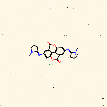 CN1CCC/C1=N\c1cc2oc(=O)c3cc(/N=C4\CCCN4C)cc4oc(=O)c(c1)c2c43.Cl